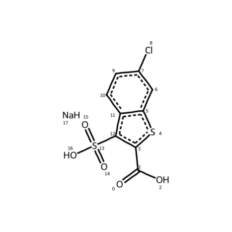 O=C(O)c1sc2cc(Cl)ccc2c1S(=O)(=O)O.[NaH]